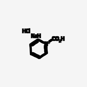 Cl.O=C(O)[n+]1ccccc1.[NaH]